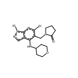 CCc1nc2c(cnn2CC)c(NC2CCOCC2)c1CN1CCCC1=O